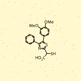 COc1ccc(-c2sc(C(S)C(=O)O)nc2-c2ccccc2)cc1OC